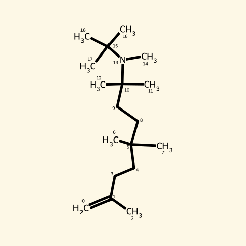 C=C(C)CCC(C)(C)CCC(C)(C)N(C)C(C)(C)C